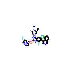 CC[C@@H]1CN(c2nc(OC[C@@]34CCCN3C[C@H](F)C4)nc3c(F)c(-c4cncc5cccc(Cl)c45)c(F)cc23)C[C@@H](C)N1